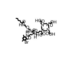 CCCCCC(=O)NCCOCCNC(=O)[C@H](CCC(=O)Nc1c(C)cc(C)c(Br)c1C)NC(=O)CCC(C(=O)O)N1CCN(CC(=O)O)CCN(CC(=O)O)CCN(CC(=O)O)CC1